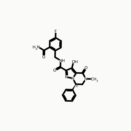 CN1C[C@@H](c2ccccc2)n2nc(C(=O)NCc3ccc(F)cc3C(N)=O)c(O)c2C1=O